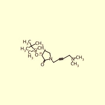 CN(C)CC#CCN1CC[C@@H](O[Si](C)(C)C(C)(C)C)C1=O